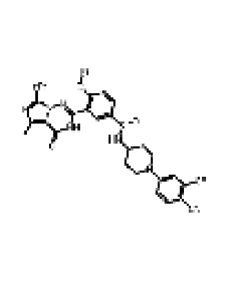 CCCc1nc(C)c2c(=O)[nH]c(-c3cc([S+]([O-])NC4CCN(c5ccc(C#N)c(C(F)(F)F)c5)CC4)ccc3OCC)nn12